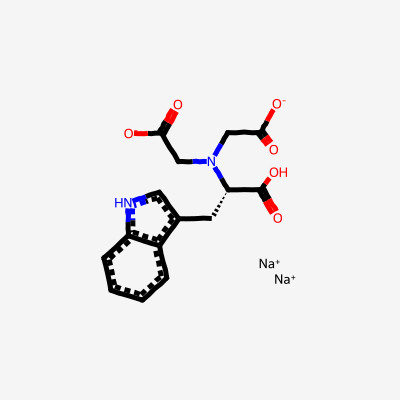 O=C([O-])CN(CC(=O)[O-])[C@@H](Cc1c[nH]c2ccccc12)C(=O)O.[Na+].[Na+]